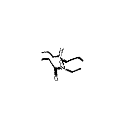 C=CC(=O)NCC.CCCNCCC